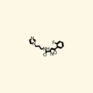 O=C(NCCCn1ccnc1)c1cc(-c2ccccc2F)on1